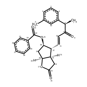 Cc1cccc([C@@H](C)C(=O)/C=C/[C@@H]2[C@H]3CC(=O)O[C@H]3C[C@H]2OC(=O)c2ccccc2)c1